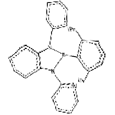 CC(C)c1cccc(C(C)C)c1B1N(c2ccccc2)c2ccccc2N1c1ccccn1